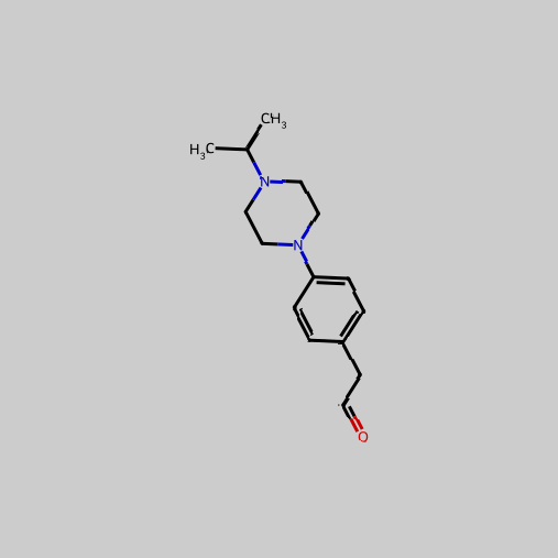 CC(C)N1CCN(c2ccc(C[C]=O)cc2)CC1